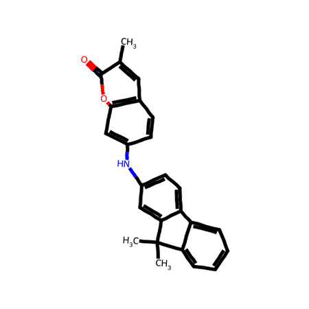 Cc1cc2ccc(Nc3ccc4c(c3)C(C)(C)c3ccccc3-4)cc2oc1=O